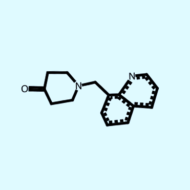 O=C1CCN(Cc2cccc3cccnc23)CC1